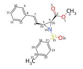 COC(=O)[C@@H]1[C@H](C=Cc2ccccc2)N1[S+]([O-])c1ccc(C)cc1